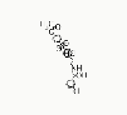 CC(=O)Oc1ccc(S(=O)(=O)c2ccc(CCNCC(O)c3cccc(Cl)c3)cc2)cc1.Cl